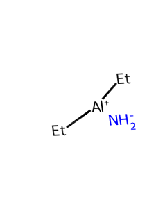 C[CH2][Al+][CH2]C.[NH2-]